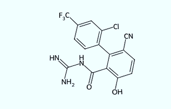 N#Cc1ccc(O)c(C(=O)NC(=N)N)c1-c1ccc(C(F)(F)F)cc1Cl